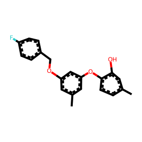 Cc1cc(OCc2ccc(F)cc2)cc(Oc2ccc(C)cc2O)c1